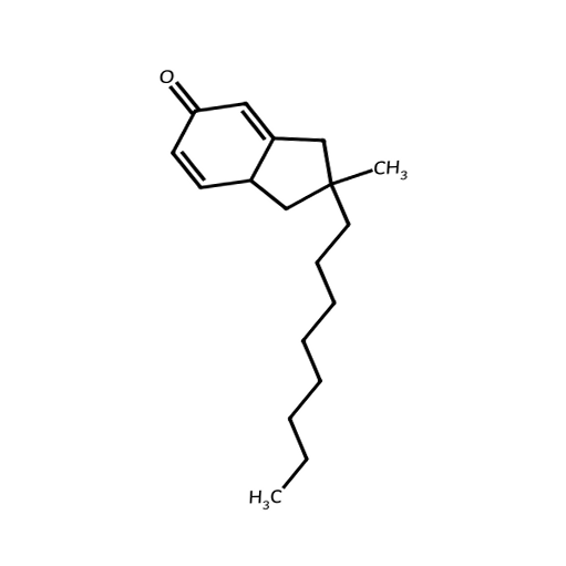 CCCCCCCCC1(C)CC2=CC(=O)C=CC2C1